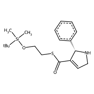 CC(C)(C)[Si](C)(C)OCCSC(=O)C1=CCN[C@H]1c1ccccc1